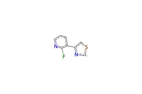 Fc1ncccc1-c1cs[c]n1